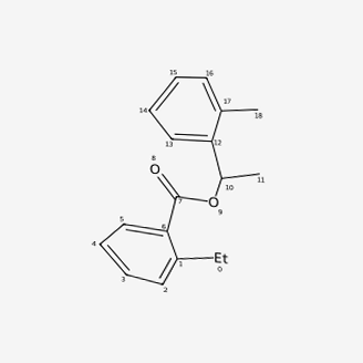 CCc1ccccc1C(=O)OC(C)c1ccccc1C